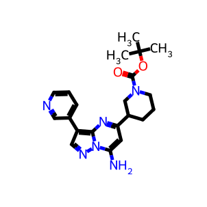 CC(C)(C)OC(=O)N1CCCC(c2cc(N)n3ncc(-c4cccnc4)c3n2)C1